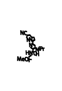 COC(C)(C)CCNC(=O)c1cnc(-c2ccc3cc(C#N)cnn23)cc1NC(C)C